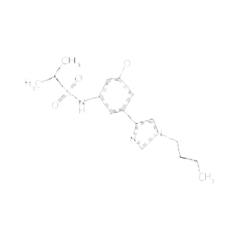 CCCCn1[c]c(-c2cc(Cl)cc(NS(=O)(=O)C(C)C)c2)nc1